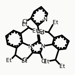 CCC(CC)c1cccc(C(CC)CC)c1-n1c(Cl)c(Cl)n(-c2c(C(CC)CC)cccc2C(CC)CC)[c]1=[Pd-][c]1ncccc1Cl